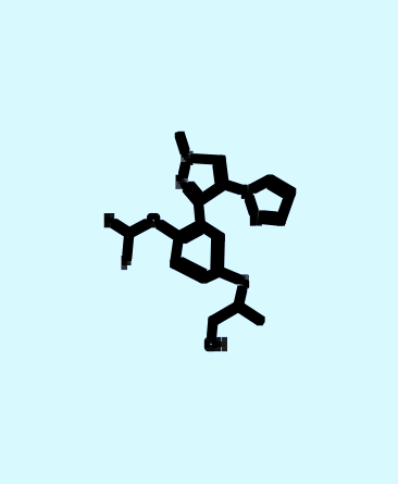 CC(CO)Sc1ccc(OC(F)F)c(-c2nn(C)cc2-n2cccn2)c1